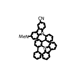 CNc1ccc2c(c1)c1cc(C#N)ccc1n2-c1ccccc1-c1cccc(-c2ccccc2)c1-n1c2ccccc2c2ccccc21